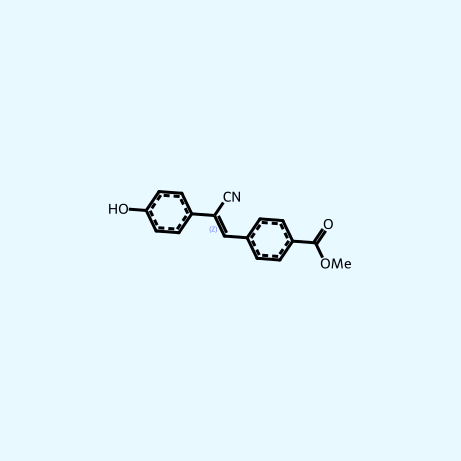 COC(=O)c1ccc(/C=C(\C#N)c2ccc(O)cc2)cc1